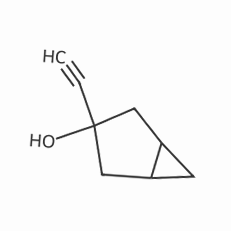 C#CC1(O)CC2CC2C1